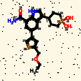 CCOCc1cc(-c2cc(C(N)=O)c3[nH]cc(C4CCS(O)(O)CC4)c3c2)cs1